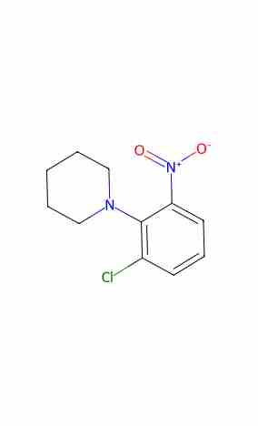 O=[N+]([O-])c1cccc(Cl)c1N1CCCCC1